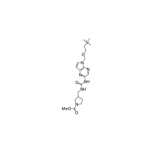 COC(=O)N1CCC(CNC(=O)Nc2cnc3c(ccn3COCC[Si](C)(C)C)n2)C1